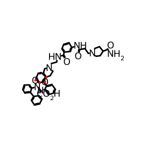 NC(=O)C1CCN(CCC(=O)Nc2cccc(C(=O)NCCN3CCC(OC(=O)N(c4ccccc4-c4ccccc4)N(C(=O)O)c4ccccc4-c4ccccc4)CC3)c2)CC1